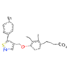 CCOC(=O)CCc1ccc(OCc2cnsc2-c2ccc(CC)cc2)c(C)c1C